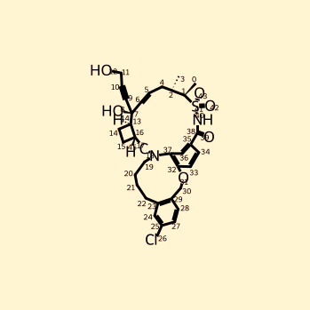 C[C@@H]1[C@@H](C)C/C=C/[C@@](O)(C#CCO)[C@@H]2CC[C@H]2CN2CCCCc3cc(Cl)ccc3COc3ccc(cc32)C(=O)NS1(=O)=O